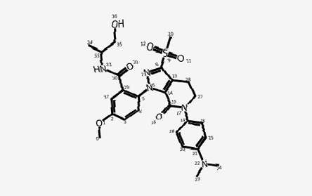 COc1ccc(-n2nc(S(C)(=O)=O)c3c2C(=O)N(c2ccc(N(C)C)cc2)CC3)c(C(=O)NC(C)CO)c1